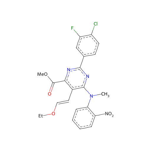 CCO/C=C/c1c(C(=O)OC)nc(-c2ccc(Cl)c(F)c2)nc1N(C)c1ccccc1[N+](=O)[O-]